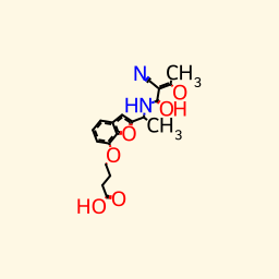 C/C(O)=C(\C#N)C(=O)NC(C)c1cc2cccc(OCCCC(=O)O)c2o1